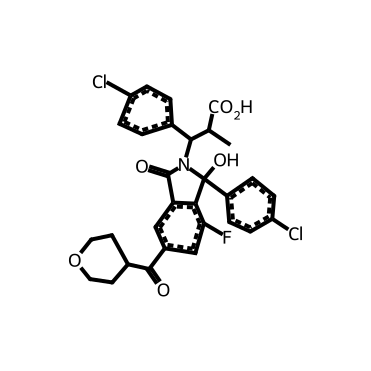 CC(C(=O)O)C(c1ccc(Cl)cc1)N1C(=O)c2cc(C(=O)C3CCOCC3)cc(F)c2C1(O)c1ccc(Cl)cc1